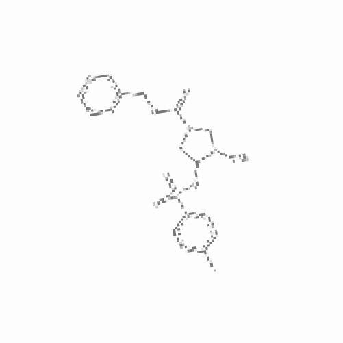 COC1CN(C(=O)OCc2ccccc2)CC1OS(=O)(=O)c1ccc(C)cc1